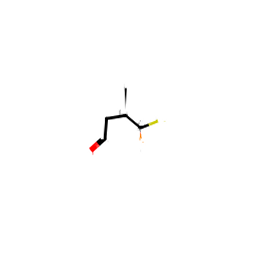 C[C@H](CC=O)[C@H](P)S